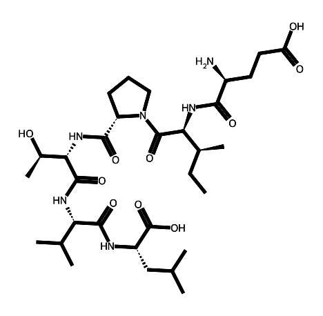 CC[C@H](C)[C@H](NC(=O)[C@@H](N)CCC(=O)O)C(=O)N1CCC[C@H]1C(=O)N[C@H](C(=O)N[C@H](C(=O)N[C@@H](CC(C)C)C(=O)O)C(C)C)[C@@H](C)O